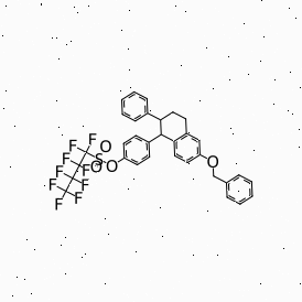 O=S(=O)(Oc1ccc(C2c3ccc(OCc4ccccc4)cc3CCC2c2ccccc2)cc1)C(F)(F)C(F)(F)C(F)(F)C(F)(F)F